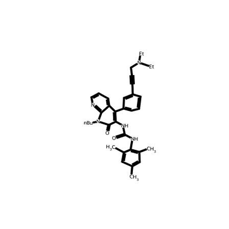 CCCCn1c(=O)c(NC(=O)Nc2c(C)cc(C)cc2C)c(-c2cccc(C#CCN(CC)CC)c2)c2cccnc21